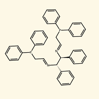 C(/CP(c1ccccc1)c1ccccc1)=N\[C@@H](c1ccccc1)[C@@H](/N=C/CP(c1ccccc1)c1ccccc1)c1ccccc1